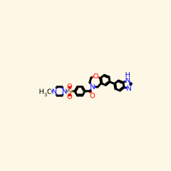 CN1CCN(S(=O)(=O)c2ccc(C(=O)N3CCOc4ccc(-c5ccc6nc[nH]c6c5)cc4C3)cc2)CC1